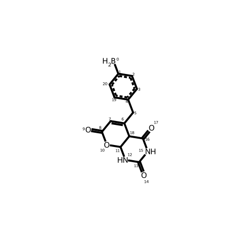 Bc1ccc(CC2=CC(=O)OC3NC(=O)NC(=O)C23)cc1